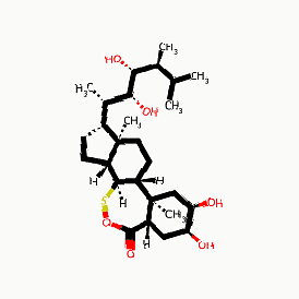 CC(C)[C@H](C)[C@@H](O)[C@H](O)[C@@H](C)[C@H]1CC[C@H]2[C@@H]3SOC(=O)[C@H]4C[C@H](O)[C@H](O)C[C@]4(C)[C@H]3CC[C@]12C